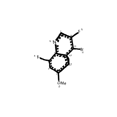 COc1cc(F)c2ncc(F)c(Br)c2c1